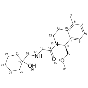 COC[C@@H]1c2cccc(C)c2CCN1C(=O)CNCC1(O)CCCCC1